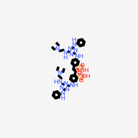 CCN(CC)CCNc1nc(Nc2ccccc2)nc(Nc2ccc(/C=C/c3ccc(Nc4nc(NCCN(CC)CC)nc(Nc5ccccc5)n4)cc3S(=O)(=O)O)c(S(=O)(=O)O)c2)n1